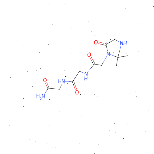 CC1(C)NCC(=O)N1CC(=O)NCC(=O)NCC(N)=O